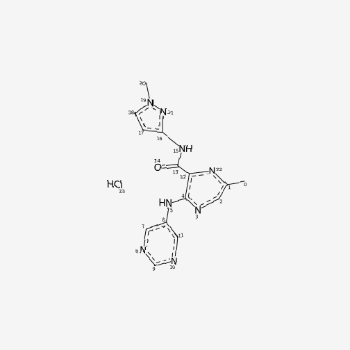 Cc1cnc(Nc2cncnc2)c(C(=O)Nc2ccn(C)n2)n1.Cl